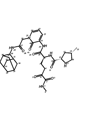 CNC(=O)C(=O)CC[C@H](NC(=O)[C@@H]1C[C@H](C)CN1)C(=O)Nc1cccn(CC(=O)NC2C3CC4CC(C3)CC2C4)c1=O